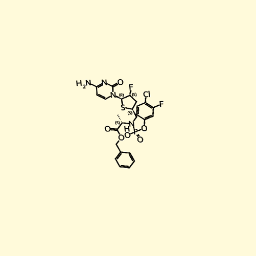 C[C@@H](C(=O)OCc1ccccc1)N(C[C@@H]1C[C@H](F)[C@H](n2ccc(N)nc2=O)S1)P(=O)(O)Oc1ccc(Cl)c(F)c1